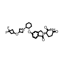 O=C1CCC(N2Cc3cc(O[C@H]4CCCC[C@@H]4N4CC(OC5CC(F)(F)C5)C4)ccc3C2=O)C(=O)N1